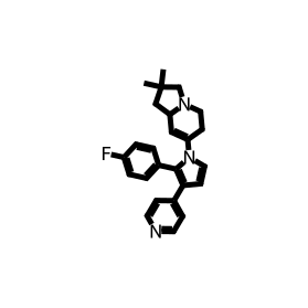 CC1(C)CC2C=C(n3ccc(-c4ccncc4)c3-c3ccc(F)cc3)CCN2C1